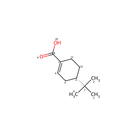 CC(C)(C)[C@@H]1CC=C(C(=O)O)CC1